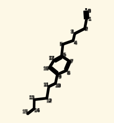 [C]#CCCCCc1ccc(CCCCCC)cc1